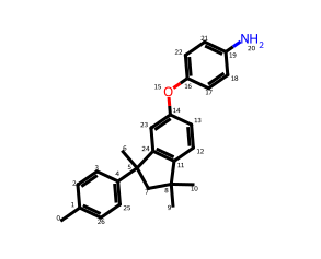 Cc1ccc(C2(C)CC(C)(C)c3ccc(Oc4ccc(N)cc4)cc32)cc1